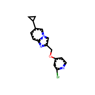 Brc1cc(OCc2cn3cc(C4CC4)ccc3n2)ccn1